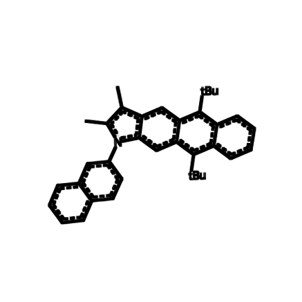 Cc1c(C)n(-c2ccc3ccccc3c2)c2cc3c(C(C)(C)C)c4ccccc4c(C(C)(C)C)c3cc12